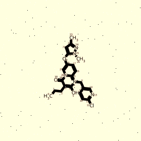 CCCc1c(O)[n+](Cc2ccc(Cl)nc2)c2ccc(Oc3cc(C)nn3C)cn2c1=O